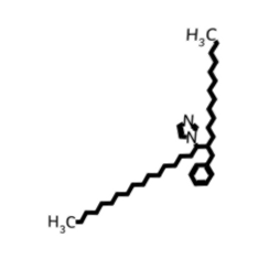 CCCCCCCCCCCCCCCCC(C(CCCCCCCCCCCC)Cc1ccccc1)n1ccnc1